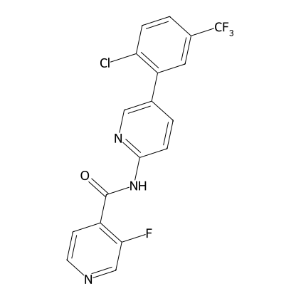 O=C(Nc1ccc(-c2cc(C(F)(F)F)ccc2Cl)cn1)c1ccncc1F